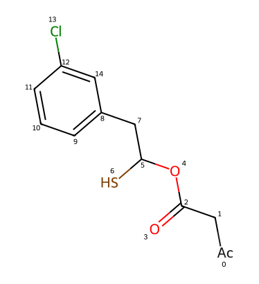 CC(=O)CC(=O)OC(S)Cc1cccc(Cl)c1